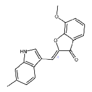 COc1cccc2c1O/C(=C\c1c[nH]c3cc(C)ccc13)C2=O